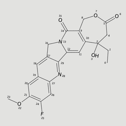 CCC1(O)CC(=O)OCc2c1cc1n(c2=O)Cc2cc3cc(OC)c(F)cc3nc2-1